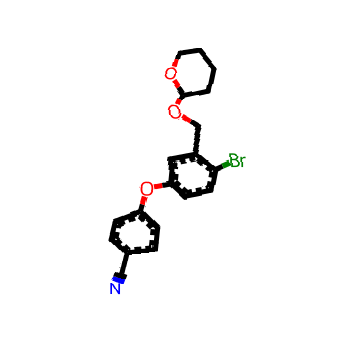 N#Cc1ccc(Oc2ccc(Br)c(COC3CCCCO3)c2)cc1